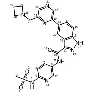 CS(=O)(=O)Nc1ccc(NC(=O)c2n[nH]c3ccc(-c4cncc(CN5CCC5)c4)cc23)cn1